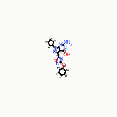 Nc1nc(O)c2c(-c3nc(Oc4ccccc4)no3)nn(C3CCCC3)c2n1